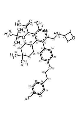 Cc1nc(CNC2COC2)c(-c2ccc(OCCc3ccc(F)cc3)cc2)c(N2CCC(C)(C)CC2)c1C(OC(C)(C)C)C(=O)O